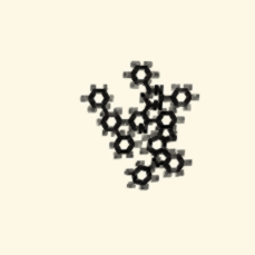 c1ccc(-c2ccc(-c3ccccc3)c(-c3cnc(-c4cccc5sc6c(ccc7c6c6ccccc6n7-c6ccccc6)c45)c(-c4nc(-c5ccccc5)nc(-c5ccccc5)n4)c3)c2)cc1